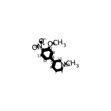 COc1cc(C2=CCCN(C)C2)ccc1[N+](=O)[O-]